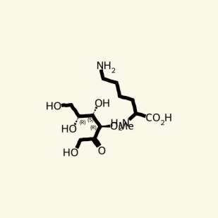 CO[C@@H](C(=O)CO)[C@@H](O)[C@H](O)CO.NCCCCC(N)C(=O)O